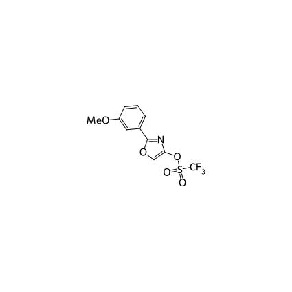 COc1cccc(-c2nc(OS(=O)(=O)C(F)(F)F)co2)c1